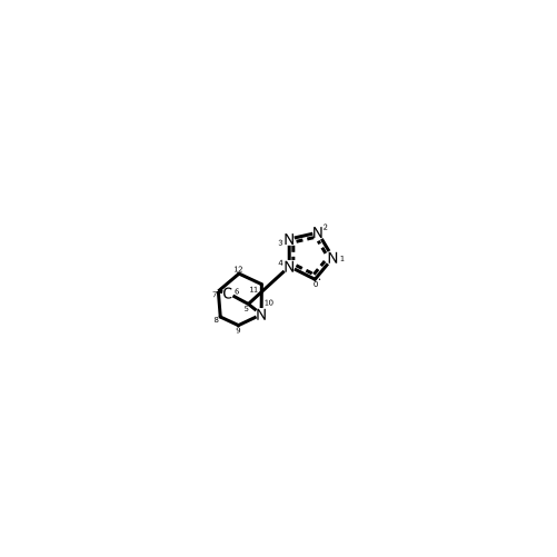 [c]1nnnn1C1CC2CCN1CC2